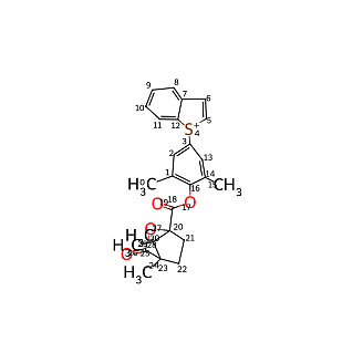 Cc1cc(-[s+]2ccc3ccccc32)cc(C)c1OC(=O)C12CCC(C)(C(=O)O1)C2(C)C